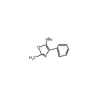 CCCCc1oc(C)nc1-c1ccccc1